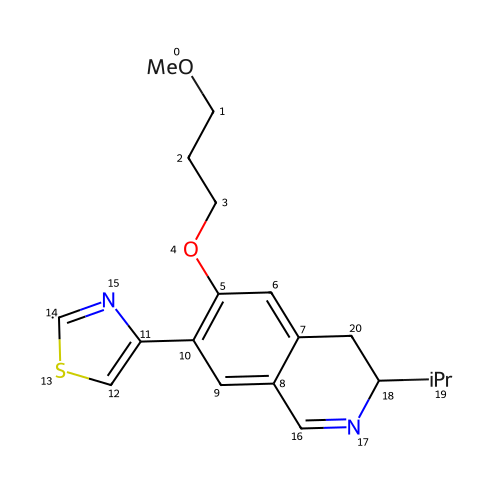 COCCCOc1cc2c(cc1-c1cs[c]n1)C=NC(C(C)C)C2